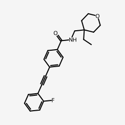 CCC1(CNC(=O)c2ccc(C#Cc3ccccc3F)cc2)CCOCC1